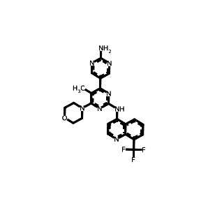 Cc1c(-c2cnc(N)nc2)nc(Nc2ccnc3c(C(F)(F)F)cccc23)nc1N1CCOCC1